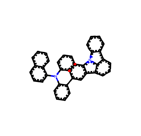 c1ccc(N(c2ccccc2-c2ccc3c(c2)c2cccc4c5ccccc5n3c42)c2cccc3ccccc23)cc1